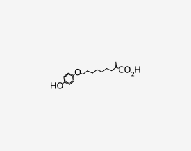 C=C(CCCCCCCOc1ccc(O)cc1)C(=O)O